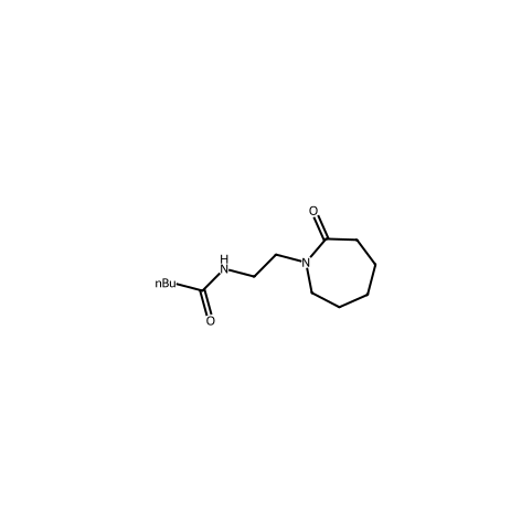 CCCCC(=O)NCCN1CCCCCC1=O